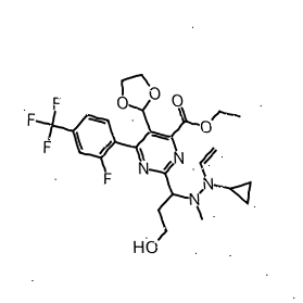 C=CN(C1CC1)N(C)C(CCO)c1nc(C(=O)OCC)c(C2OCCO2)c(-c2ccc(C(F)(F)F)cc2F)n1